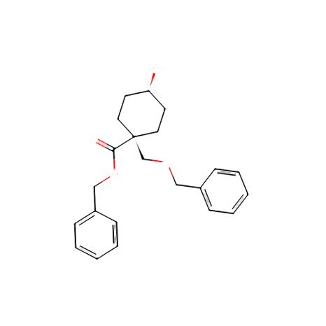 O=C(OCc1ccccc1)[C@]1(COCc2ccccc2)CC[C@@H](O)CC1